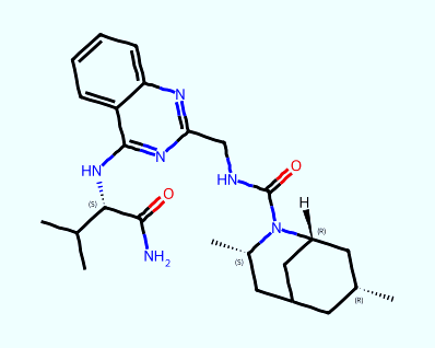 CC(C)[C@H](Nc1nc(CNC(=O)N2[C@H]3CC(C[C@@H](C)C3)C[C@@H]2C)nc2ccccc12)C(N)=O